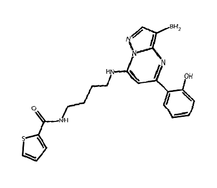 Bc1cnn2c(NCCCCNC(=O)c3cccs3)cc(-c3ccccc3O)nc12